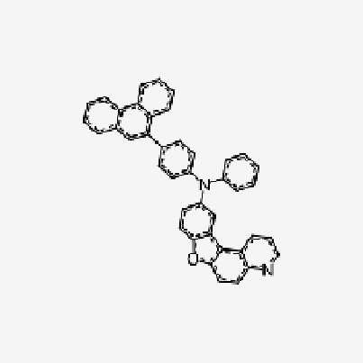 c1ccc(N(c2ccc(-c3cc4ccccc4c4ccccc34)cc2)c2ccc3oc4ccc5ncccc5c4c3c2)cc1